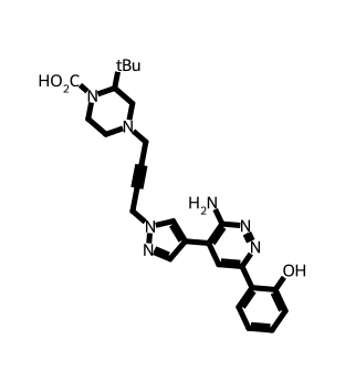 CC(C)(C)C1CN(CC#CCn2cc(-c3cc(-c4ccccc4O)nnc3N)cn2)CCN1C(=O)O